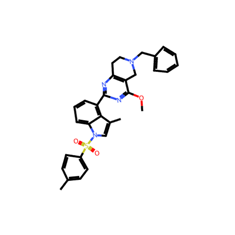 COc1nc(-c2cccc3c2c(C)cn3S(=O)(=O)c2ccc(C)cc2)nc2c1CN(Cc1ccccc1)CC2